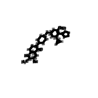 CCOC1=C(C2CCCC2)[C@@H](C2CC2)C[C@@H](CN2CCC(N3CCC4=C(C[C@H](C(C)=O)[C@H](C)N4)C3=O)CC2)C1